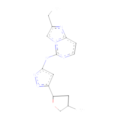 COCc1cn2c(Nc3cc(C4CC(OC)CO4)[nH]n3)nccc2n1